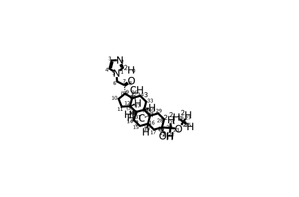 [2H]c1nccn1CC(=O)[C@H]1CC[C@H]2[C@@H]3CC[C@H]4C[C@@](O)(C([2H])([2H])OC([2H])([2H])[2H])CC[C@]4(C)[C@H]3CC[C@]12C